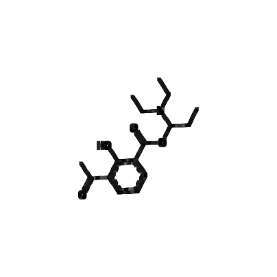 CCC(OC(=O)c1cccc(C(C)=O)c1O)N(CC)CC